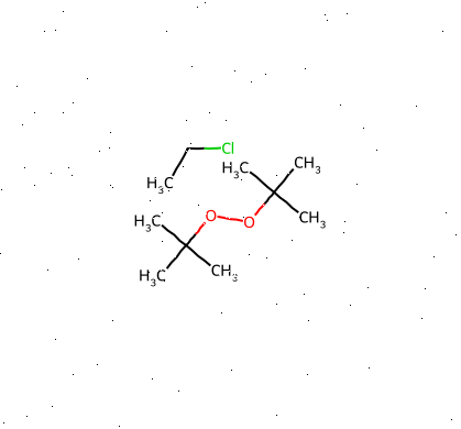 CC(C)(C)OOC(C)(C)C.CCCl